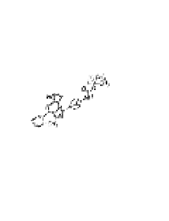 Cc1ccccc1-c1nc2[nH]ccc2n2c(C34CCC(NC(=O)OC(C)(C)C)(CC3)CC4)ncc12